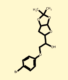 CC1(C)OC2CC(C(O)COc3ccc(Br)cc3)OC2O1